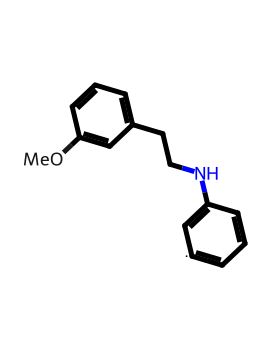 COc1cccc(CCNc2c[c]ccc2)c1